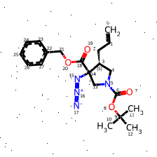 C=CC[C@H]1CN(C(=O)OC(C)(C)C)CC1(N=[N+]=[N-])C(=O)OCc1ccccc1